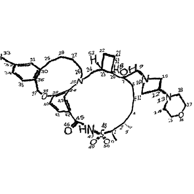 C[C@@H]1[C@@H](C)CCC[C@@](O)(CN2CC(N3CCOCC3)C2)[C@@H]2CC[C@H]2CN2CCCCc3cc(Cl)ccc3COc3ccc(cc32)C(=O)NS1(=O)=O